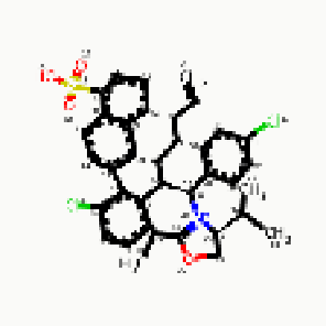 C=CCCCC(c1cccc(Cl)c1-c1ccc2c(S(=O)(=O)O)cccc2c1)[C@@H](c1ccc(Cl)cc1)[N+]1=C(CC)OC[C@@H]1C(C)C